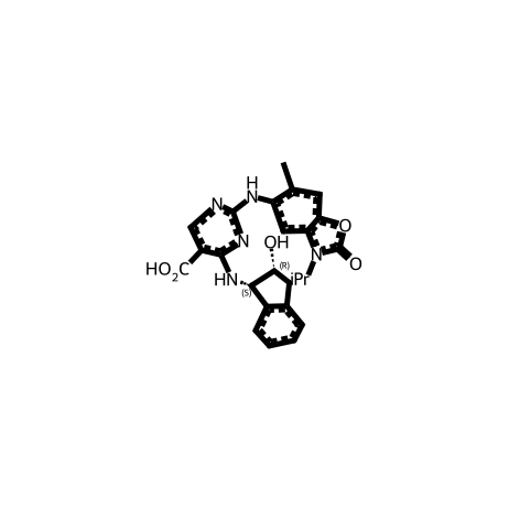 Cc1cc2oc(=O)n(C(C)C)c2cc1Nc1ncc(C(=O)O)c(N[C@H]2c3ccccc3C[C@H]2O)n1